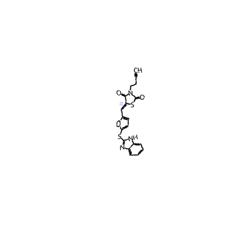 C#CCCN1C(=O)S/C(=C\c2ccc(Sc3nc4ccccc4[nH]3)o2)C1=O